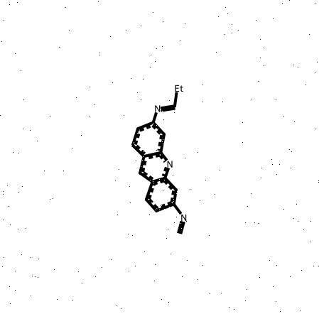 C=Nc1ccc2cc3ccc(N=CCC)cc3nc2c1